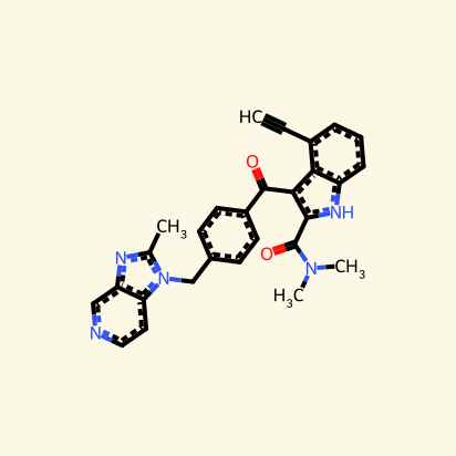 C#Cc1cccc2[nH]c(C(=O)N(C)C)c(C(=O)c3ccc(Cn4c(C)nc5cnccc54)cc3)c12